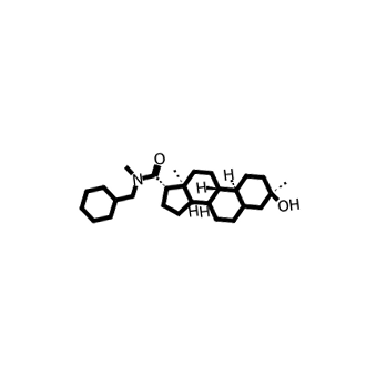 CN(CC1CCCCC1)C(=O)[C@H]1CC[C@H]2[C@@H]3CCC4C[C@](C)(O)CC[C@@H]4[C@H]3CC[C@]12C